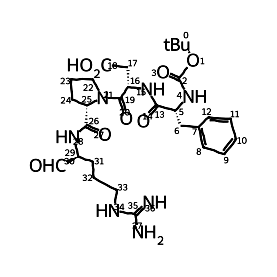 CC(C)(C)OC(=O)N[C@H](Cc1ccccc1)C(=O)N[C@@H](CC(=O)O)C(=O)N1CCC[C@H]1C(=O)N[C@H](C=O)CCCNC(=N)N